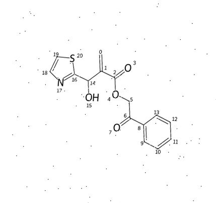 C=C(C(=O)OCC(=O)c1ccccc1)C(O)c1nccs1